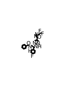 O=C(NCC(Nc1ncc(-c2nnc(C(F)F)o2)cn1)c1ccc(F)cc1)c1ccccc1